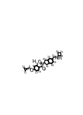 CN(C(=O)c1ccc(OCC2CC2)cc1)[C@@H]1Cc2ccc(CNC3CCC3)cc2C1